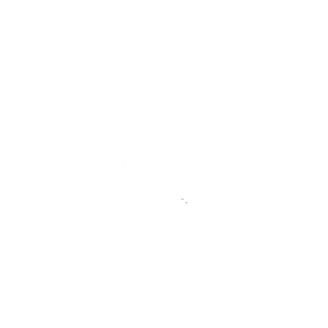 O=C(OC1CC[N+]2(CCCC2)C1)C(O)(c1ccccc1)C1CCCCC1.[Cl-]